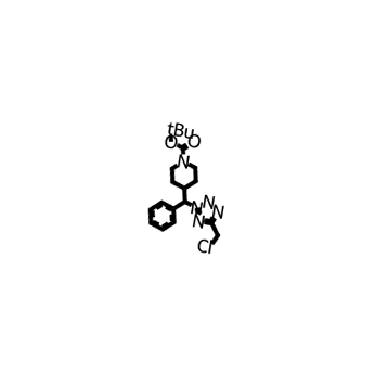 CC(C)(C)OC(=O)N1CCC(C(c2ccccc2)n2nnc(CCl)n2)CC1